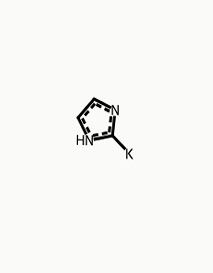 [K][c]1ncc[nH]1